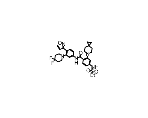 CCS(=O)(=O)Nc1ccc(C(=O)Nc2ccc(-c3ccon3)c(N3CCC(F)(F)CC3)c2)c(N2CCC3(CC2)CC3)c1